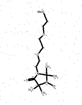 COCCOCCOCCN1C(=O)C(C)(C)N(Cl)C1(C)C